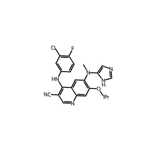 CC(C)Oc1cc2ncc(C#N)c(Nc3ccc(F)c(Cl)c3)c2cc1N(C)c1cnc[nH]1